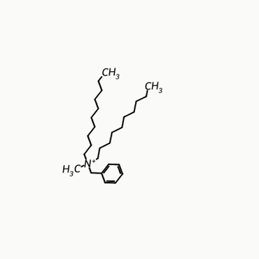 CCCCCCCCCC[N+](C)(CCCCCCCCCC)Cc1ccccc1